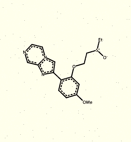 CC[S+]([O-])CCOc1cc(OC)ccc1-c1cn2ccncc2n1